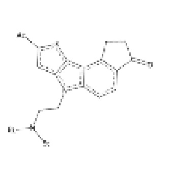 CCN(CC)CCn1c2cc(C(C)=O)sc2c2c3c(ccc21)C(=O)CC3